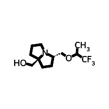 CC(OC[C@@H]1CC[C@]2(CO)CCCN12)C(F)(F)F